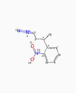 CC(CC=[N+]=[N-])c1ccccc1[N+](=O)[O-]